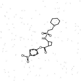 O=C(Oc1ccc([N+](=O)[O-])cc1)C1CCC1NS(=O)(=O)CCN1CCCCC1